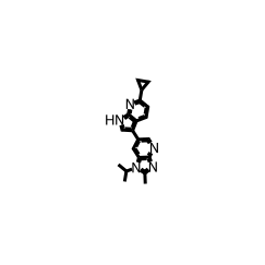 Cc1nc2ncc(-c3c[nH]c4nc(C5CC5)ccc34)cc2n1C(C)C